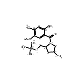 COc1cc(C(=O)N2CC(C)CC2CO[Si](C)(C)C(C)(C)C)c(N)cc1O